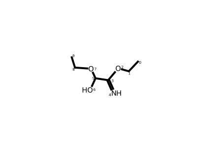 CCOC(=N)C(O)OCC